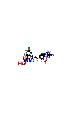 COc1cc(C=Cc2n[nH]c(C(CCO)(OC)c3ccc(F)cc3)n2)ccc1-n1cnc(C)c1